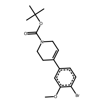 COc1cc(C2=CCN(C(=O)OC(C)(C)C)CC2)ccc1Br